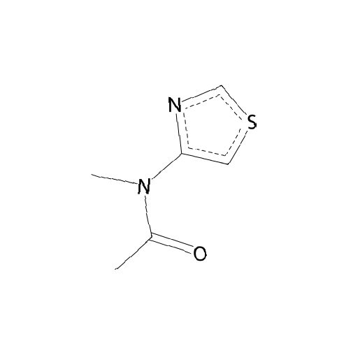 CC(=O)N(C)c1cscn1